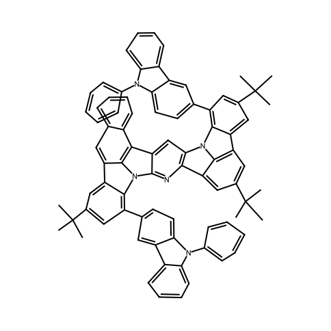 CC(C)(C)c1cc(-c2ccc3c(c2)c2ccccc2n3-c2ccccc2)c2c(c1)c1cc(C(C)(C)C)cc3c4nc5c(cc4n2c13)c1c2ccccc2cc2c3cc(C(C)(C)C)cc(-c4ccc6c(c4)c4ccccc4n6-c4ccccc4)c3n5c21